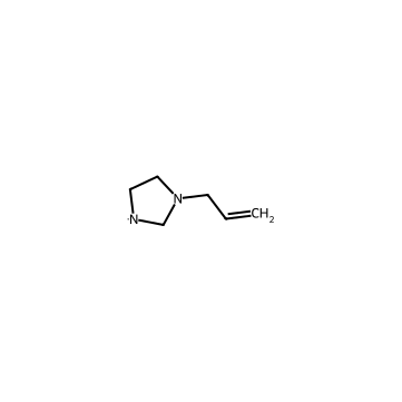 C=CCN1CC[N]C1